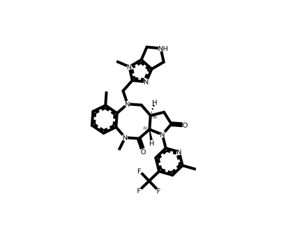 Cc1cc(C(F)(F)F)cc(N2C(=O)C[C@@H]3CN(Cc4nc5c(n4C)CNC5)c4c(C)cccc4N(C)C(=O)[C@H]32)n1